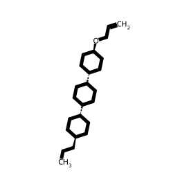 C=CCO[C@H]1CC[C@H](C2CCC([C@H]3CC[C@H](CCC)CC3)CC2)CC1